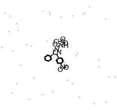 O=C(NS(=O)(=O)Cl)N1CC(c2ccccc2)C(c2ccc([N+](=O)[O-])cc2)=N1